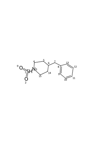 O=[SH](=O)N1CCC(Cc2ccccc2)CC1